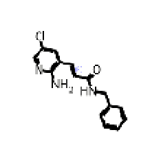 Nc1ncc(Cl)cc1/C=C/C(=O)NCc1ccccc1